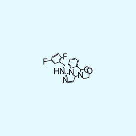 Fc1ccc(F)c(CNc2nccc(N3CCOC[C@@H]3c3ccccc3)n2)c1